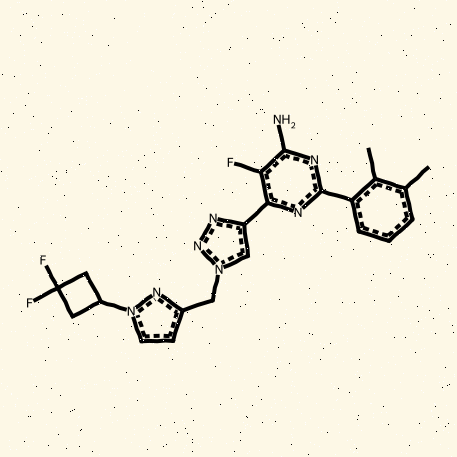 Cc1cccc(-c2nc(N)c(F)c(-c3cn(Cc4ccn(C5CC(F)(F)C5)n4)nn3)n2)c1C